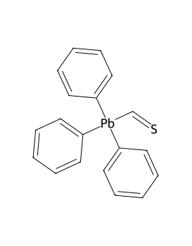 S=[CH][Pb]([c]1ccccc1)([c]1ccccc1)[c]1ccccc1